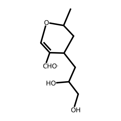 CC1CC(CC(O)CO)C([C]=O)=CO1